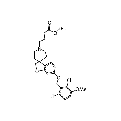 COc1ccc(Cl)c(COc2ccc3c(c2)OCC32CCN(CCCC(=O)OC(C)(C)C)CC2)c1Cl